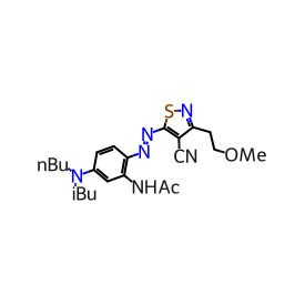 CCCCN(c1ccc(/N=N/c2snc(CCOC)c2C#N)c(NC(C)=O)c1)C(C)CC